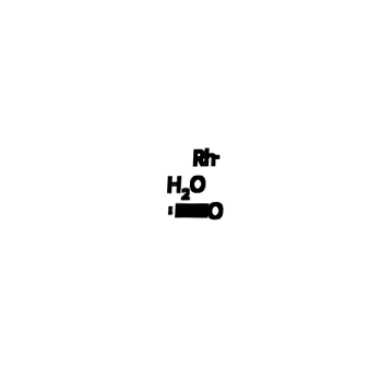 O.[C]=O.[Rh]